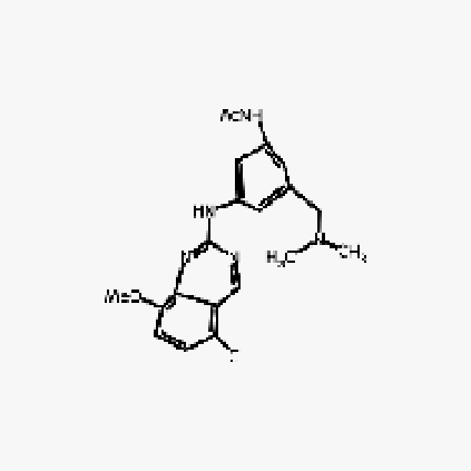 COc1ccc(Cl)c2cnc(Nc3cc(CN(C)C)cc(NC(C)=O)c3)nc12